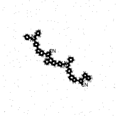 N#Cc1cc(-c2ccc3ccc(-c4ccc(-c5cc(-c6ccccc6)nc(-c6ccc(-c7ccc8c(c7)cc(-c7cc(C#N)cc(-c9ccc%10ccc(-c%11ccc(-c%12cc(-c%13ccccc%13)nc(-c%13ccccc%13)n%12)cc%11)cc%10c9)c7)c7ccccc78)cc6)n5)cc4)cc3c2)cc(-c2cccc3ccccc23)c1